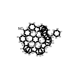 N#Cc1ccc(-c2c(-n3c4ccccc4c4ccccc43)c(-n3c4ccccc4c4ccccc43)c(-n3c4ccccc4c4ccc5c(c6ccccc6n5-c5ccccc5)c43)c(-n3c4ccccc4c4ccccc43)c2-n2c3ccccc3c3ccccc32)cc1